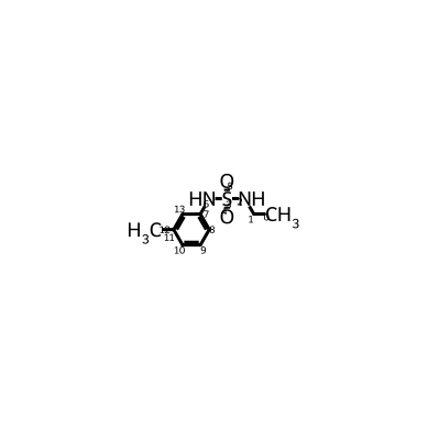 CCNS(=O)(=O)Nc1cccc(C)c1